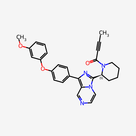 CC#CC(=O)N1CCCC[C@H]1c1nc(-c2ccc(Oc3cccc(OC)c3)cc2)c2cnccn12